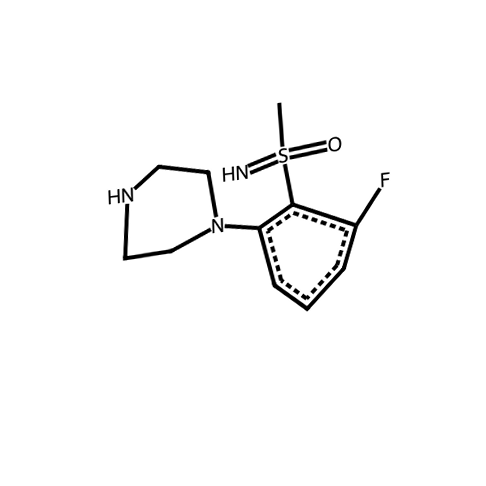 CS(=N)(=O)c1c(F)cccc1N1CCNCC1